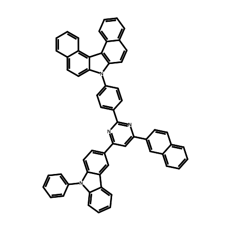 c1ccc(-n2c3ccccc3c3cc(-c4cc(-c5ccc6ccccc6c5)nc(-c5ccc(-n6c7ccc8ccccc8c7c7c8ccccc8ccc76)cc5)n4)ccc32)cc1